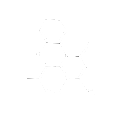 Nc1cc(=O)n(-c2ccccc2Cl)c2cc(C(F)(F)F)ccc12